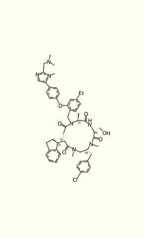 CCc1ccc(CN2C(=O)C[C@@H]([C@@H]3CCc4ccccc43)C(=O)N(C)C[C@@H](Cc3ccc(Cl)cc3)N(C)C(=O)[C@@H](CO)NC(=O)[C@@H]2C)c(Oc2ccc(-c3cnc(CN(C)C)n3C)cc2)c1